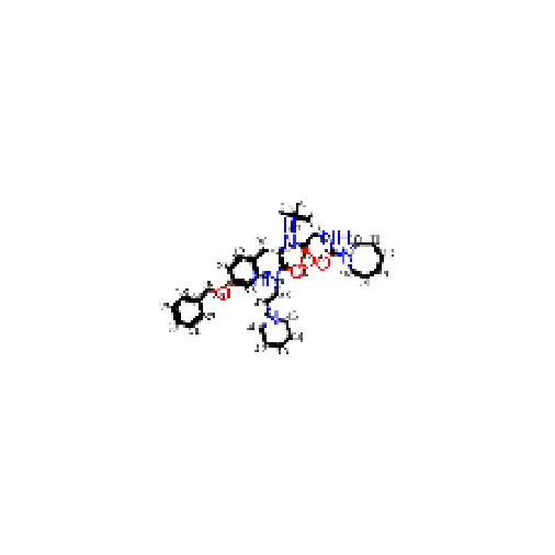 CC(C)(C)C[C@H](NC(=O)N1CCCCCC1)C(=O)N[C@@H](Cc1ccc(OCc2ccccc2)cc1)C(=O)NCCN1CCCCC1